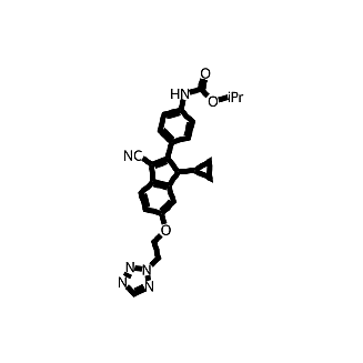 CC(C)OC(=O)Nc1ccc(C2=C(C#N)c3ccc(OCCn4ncnn4)cc3C2C2CC2)cc1